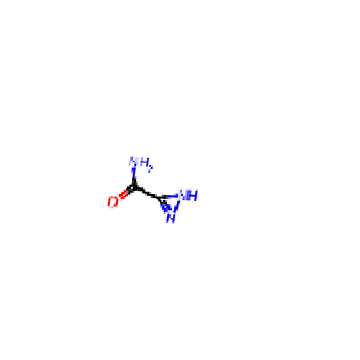 NC(=O)C1=NN1